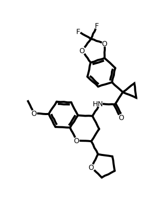 COc1ccc2c(c1)OC(C1CCCO1)CC2NC(=O)C1(c2ccc3c(c2)OC(F)(F)O3)CC1